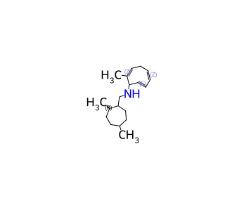 C/C1=C/C/C=C\C=C\C1NCC1CCC(C)CC[C@H]1C